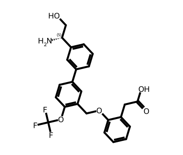 N[C@H](CO)c1cccc(-c2ccc(OC(F)(F)F)c(COc3ccccc3CC(=O)O)c2)c1